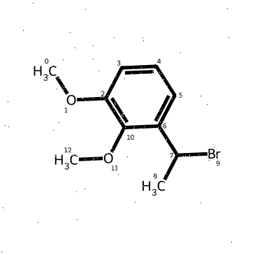 COc1cccc(C(C)Br)c1OC